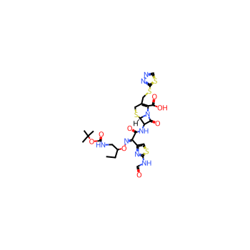 CCC(CNC(=O)OC(C)(C)C)O/N=C(/C(=O)NC1C(=O)N2C(C(=O)O)=C(CSc3nncs3)CS[C@H]12)c1csc(NC=O)n1